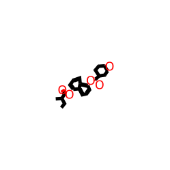 CCC(C)C(=O)Oc1cccc2c(OC(=O)C3CCC4OC4C3)cccc12